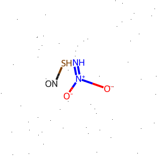 N=[N+]([O-])[O-].O=NS